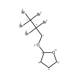 BrC(Br)(Br)C(Br)(Br)COC1CCCO1